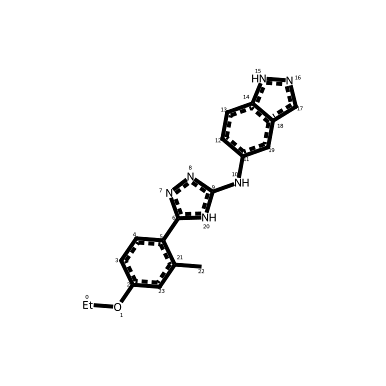 CCOc1ccc(-c2nnc(Nc3ccc4[nH]ncc4c3)[nH]2)c(C)c1